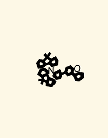 CC1(C)c2ccccc2-c2c(N(c3cccc(-c4ccc5oc6ccccc6c5c4)c3)c3cccc4c3-c3ccccc3C4(C)C)cccc21